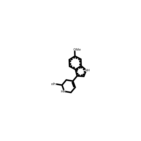 CCCC1CC(c2c[nH]c3cc(OC)ccc23)=CCN1